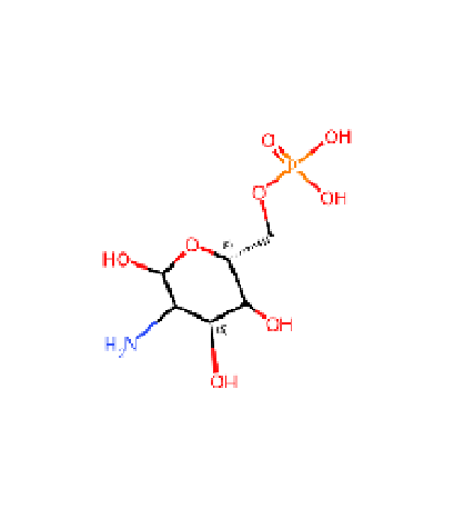 NC1C(O)O[C@H](COP(=O)(O)O)C(O)[C@H]1O